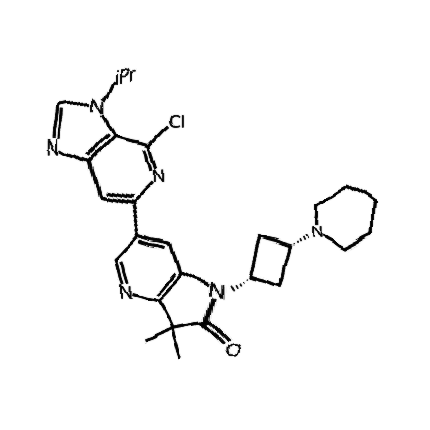 CC(C)n1cnc2cc(-c3cnc4c(c3)N([C@H]3C[C@@H](N5CCCCC5)C3)C(=O)C4(C)C)nc(Cl)c21